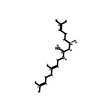 CC(C)=CCC/C(C)=C/COC(O)C[C@@H](C)CCC=C(C)C